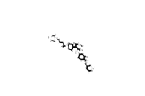 O=C(C=CCN1CCOCC1)N1CCc2c(sc3ncnc(Nc4ccc(OCc5cccnc5)c(Cl)c4)c23)C1